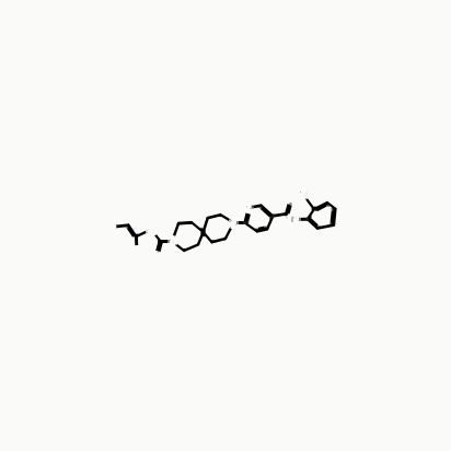 C/C=C(\C)OC(=O)N1CCC2(CC1)CCN(c1ccc(C(=O)Nc3ccccc3N)cn1)CC2